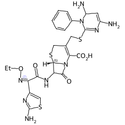 CCO/N=C(\C(=O)NC1C(=O)N2C(C(=O)O)=C(CSC3=NC(N)=CC(N)N3c3ccccc3)CS[C@@H]12)c1csc(N)n1